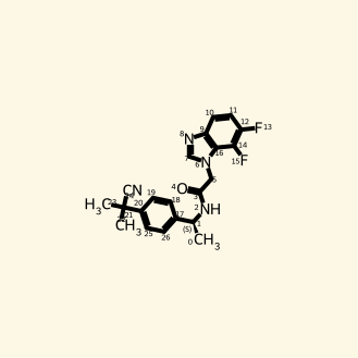 C[C@H](NC(=O)Cn1cnc2ccc(F)c(F)c21)c1ccc(C(C)(C)C#N)cc1